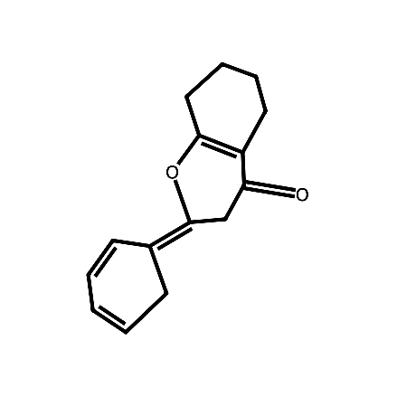 O=C1CC(=C2C=CC=CC2)OC2=C1CCCC2